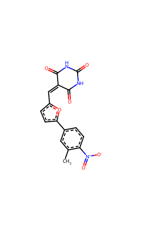 Cc1cc(-c2ccc(C=C3C(=O)NC(=O)NC3=O)o2)ccc1[N+](=O)[O-]